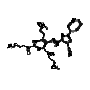 C=CCNc1nc(CC=C)c(N=Nc2nn(-c3cccnc3)cc2C#N)c(NCC=C)n1